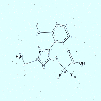 COc1ccccc1-c1nnc(CN)o1.O=C(O)C(F)(F)F